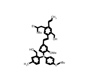 CC=Cc1cc(CO)c(C=Cc2ccc(N(c3ccc(OCCCC)cc3)c3ccc(C)cc3CO)c(OC)c2)cc1CC(CC)CCCC